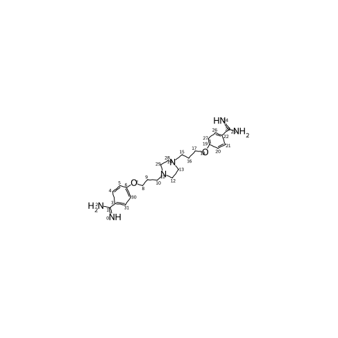 N=C(N)c1ccc(OCCCN2CCN(CCCOc3ccc(C(=N)N)cc3)CC2)cc1